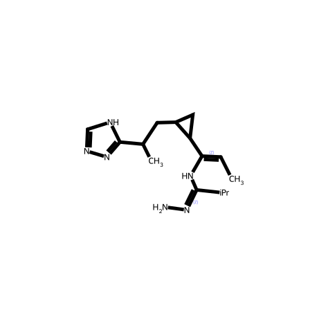 C/C=C(\N/C(=N\N)C(C)C)C1CC1CC(C)c1nnc[nH]1